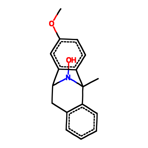 COc1ccc2c(c1)C1Cc3ccccc3C2(C)N1O